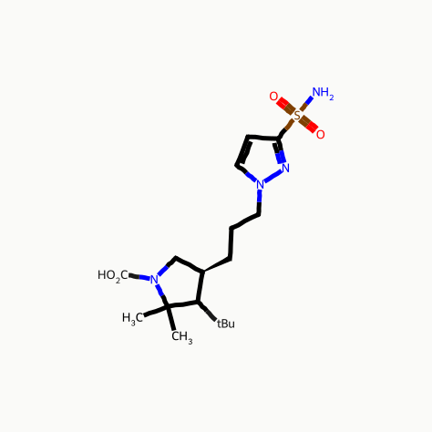 CC(C)(C)C1[C@H](CCCn2ccc(S(N)(=O)=O)n2)CN(C(=O)O)C1(C)C